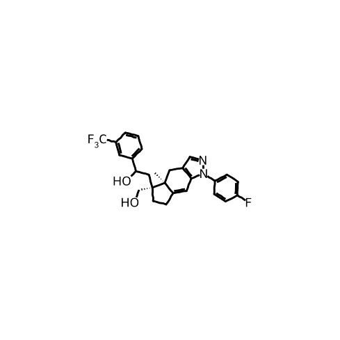 C[C@]12Cc3cnn(-c4ccc(F)cc4)c3C=C1CC[C@@]2(CO)CC(O)c1cccc(C(F)(F)F)c1